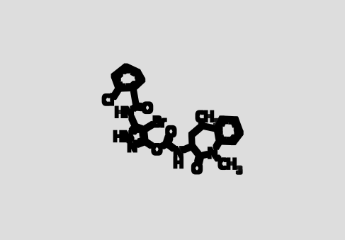 CC1CC(NC(=O)Oc2n[nH]c(NC(=O)c3ccccc3Cl)c2Br)C(=O)N(C)c2ccccc21